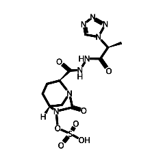 C[C@@H](C(=O)NNC(=O)[C@@H]1CC[C@@H]2CN1C(=O)N2OS(=O)(=O)O)n1cnnn1